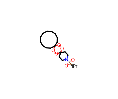 CC(C)S(=O)(=O)N1CCC2(CC1)OOC1(CCCCCCCCCCC1)OO2